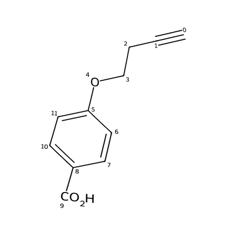 C#CCCOc1ccc(C(=O)O)cc1